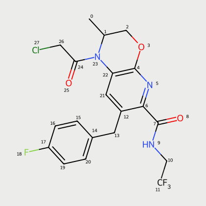 CC1COc2nc(C(=O)NCC(F)(F)F)c(Cc3ccc(F)cc3)cc2N1C(=O)CCl